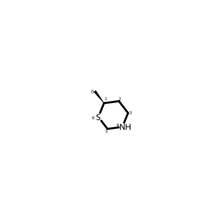 C[C@H]1CCNCS1